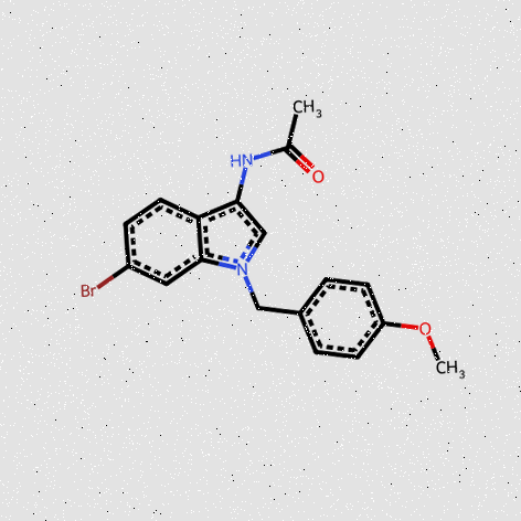 COc1ccc(Cn2cc(NC(C)=O)c3ccc(Br)cc32)cc1